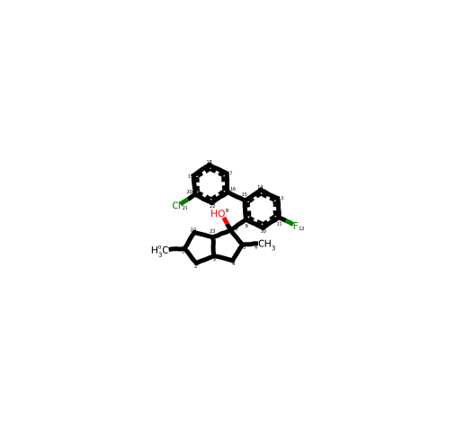 CC1CC2CC(C)C(O)(c3cc(F)ccc3-c3cccc(Cl)c3)C2C1